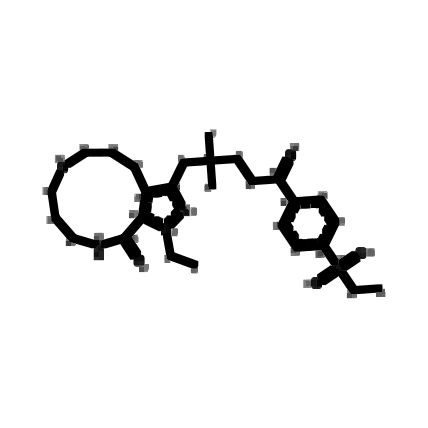 CCn1nc(CC(C)(C)CCC(=O)c2ccc(S(=O)(=O)CC)cc2)c2c1C(=O)NCCCOCCC2